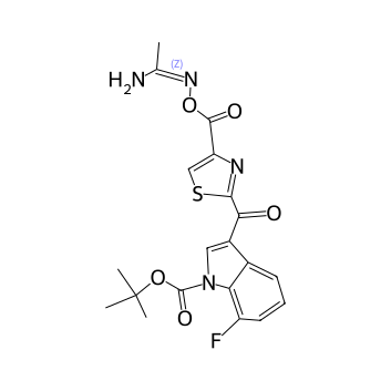 C/C(N)=N/OC(=O)c1csc(C(=O)c2cn(C(=O)OC(C)(C)C)c3c(F)cccc23)n1